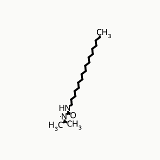 CCCCCCCCCCCCCCCCCCNC(=O)[N]C(C)C